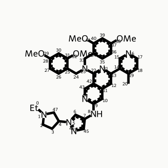 CCN1CCC(n2cc(Nc3cc4cc(-c5cnccc5C)nc(N(Cc5ccc(OC)cc5OC)Cc5ccc(OC)cc5OC)c4cn3)cn2)C1